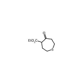 CCOC(=O)C1CCSCCC1=O